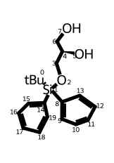 CC(C)(C)[Si](OC[C@H](O)CO)(c1ccccc1)c1ccccc1